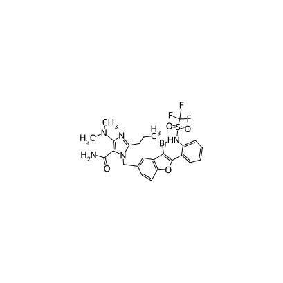 CCCc1nc(N(C)C)c(C(N)=O)n1Cc1ccc2oc(-c3ccccc3NS(=O)(=O)C(F)(F)F)c(Br)c2c1